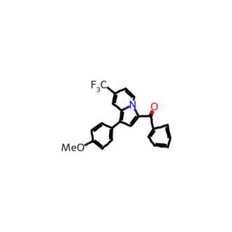 COc1ccc(-c2cc(C(=O)c3ccccc3)n3ccc(C(F)(F)F)cc23)cc1